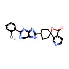 O=C1O[C@]2(CC[C@H](c3nc4nc(-c5ccccc5C(F)(F)F)ncc4[nH]3)CC2)c2cnccc21